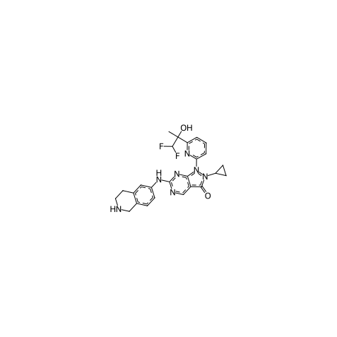 CC(O)(c1cccc(-n2c3nc(Nc4ccc5c(c4)CCNC5)ncc3c(=O)n2C2CC2)n1)C(F)F